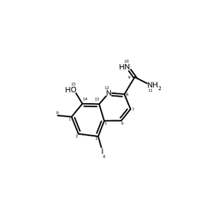 Cc1cc(I)c2ccc(C(=N)N)nc2c1O